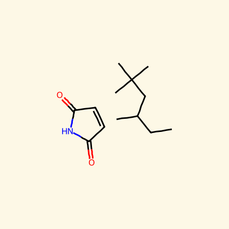 CCC(C)CC(C)(C)C.O=C1C=CC(=O)N1